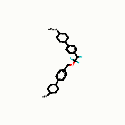 CCCCCC1CCC(c2ccc(C(F)C(F)(F)OCc3ccc(C4CCC(CCC)CC4)cc3)cc2)CC1